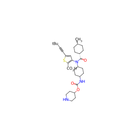 CC(C)(C)C#Cc1cc(N(C(=O)[C@H]2CC[C@H](C)CC2)C2CCC(NC(=O)OC3CCNCC3)CC2)c(C(=O)O)s1